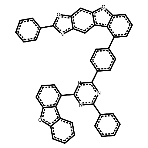 c1ccc(-c2nc(-c3ccc(-c4cccc5oc6cc7oc(-c8ccccc8)nc7cc6c45)cc3)nc(-c3cccc4oc5ccccc5c34)n2)cc1